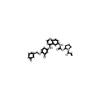 C=CC(=O)N1CCCC1OC(=O)Nc1ccc2ncnc(Nc3ccc(OCc4cccc(F)c4)c(Cl)c3)c2c1